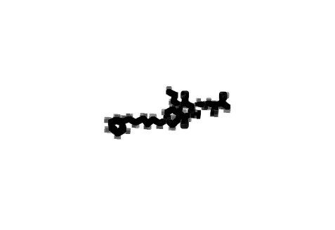 CCCN1C(=O)[C@H](CSCNC(C)=O)NC(=O)C12CCN(CCCCCCc1ccccc1)CC2